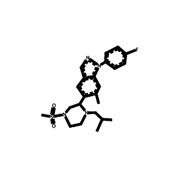 Cc1cc2c(cnn2-c2ccc(F)cc2)cc1C1CN(S(C)(=O)=O)CCN1CC(C)C